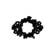 CC(C)C[C@H]1C(=O)O[C@H](Cc2ccc(Cn3ccc(C4CCCC4)n3)cc2)C(=O)N(C)[C@@H](CC(C)C)C(=O)O[C@H](C)C(=O)N(C)[C@@H](CC(C)C)C(=O)O[C@H](Cc2ccc(Cn3ccc(C4CCCC4)n3)cc2)C(=O)N(C)[C@@H](CC(C)C)C(=O)O[C@H](C)C(=O)N1C